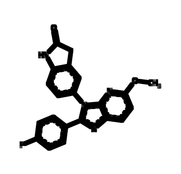 COc1ccc2nc(-c3ccc(F)cc3)n(-c3ccc4c(c3)CC(=O)N4)c2n1